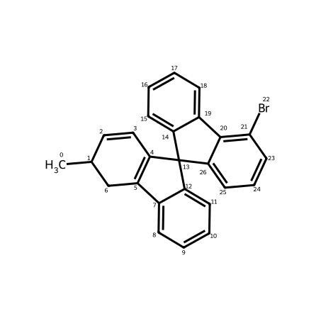 CC1C=CC2=C(C1)c1ccccc1C21c2ccccc2-c2c(Br)cccc21